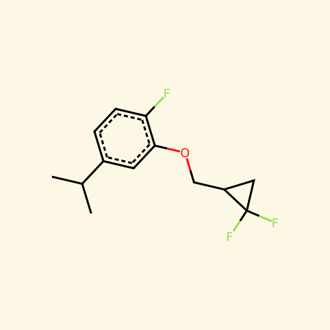 CC(C)c1ccc(F)c(OCC2CC2(F)F)c1